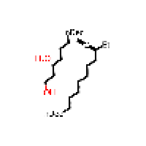 C=C=C(CC)CCCCCCCCCCCCCCCCC.CCCCCCCCCCCCCCCCO.O